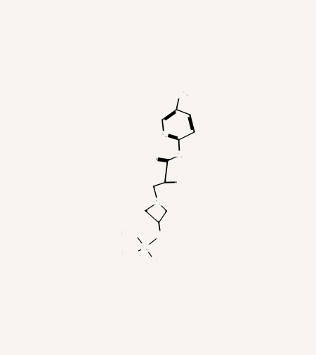 CC(C)(C)[Si](C)(C)OC1CN(CC(O)C(=O)Nc2ccc(C#N)cn2)C1